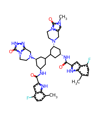 Cc1ccc(F)c2cc(C(=O)N[C@@H]3CC(C4C[C@@H](NC(=O)c5cc6c(F)ccc(C)c6[nH]5)C[C@@H](N5CCn6c(cn(C)c6=O)C5)C4)C[C@H](N4CCn5c(n[nH]c5=O)C4)C3)[nH]c12